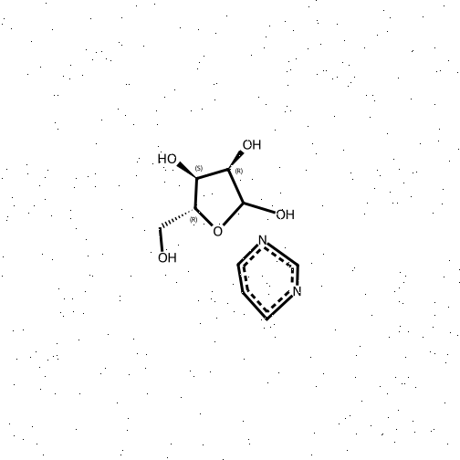 OC[C@H]1OC(O)[C@H](O)[C@@H]1O.c1cncnc1